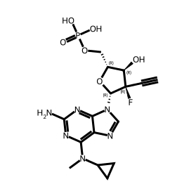 C#C[C@@]1(F)[C@H](O)[C@@H](COP(=O)(O)O)O[C@H]1n1cnc2c(N(C)C3CC3)nc(N)nc21